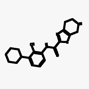 N#Cc1c(NC(=O)c2nc3c(s2)CNCC3)cccc1C1CCCCC1